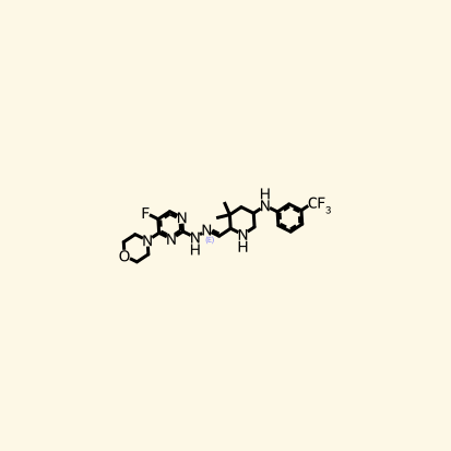 CC1(C)CC(Nc2cccc(C(F)(F)F)c2)CNC1/C=N/Nc1ncc(F)c(N2CCOCC2)n1